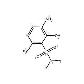 CN(C)S(=O)(=O)c1c(C(F)(F)F)ccc(N)c1O